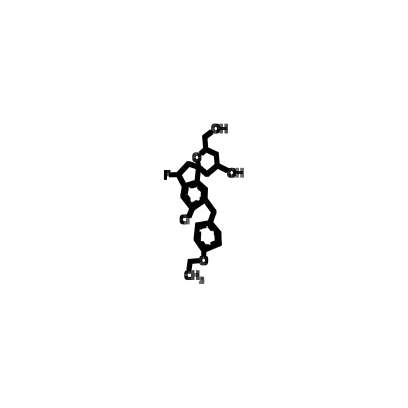 CCOc1ccc(Cc2cc3c(cc2Cl)C(F)CC32CC(O)CC(CO)O2)cc1